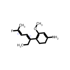 CC/C(=C\C=C(/C)F)C1=C(OC)C=C(N)CC1